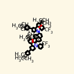 C[Si](C)(C)c1ccc(-c2ccc(N(C3=C4C=CC5=C6C(=CC=C(C=C3)C46)C(N(c3cccc(C(F)(F)F)c3)c3ccc(-c4ccc([Si](C)(C)C)cc4)cc3-c3ccc([Si](C)(C)C)cc3)C=C5)c3cccc(C(F)(F)F)c3)c(-c3ccc([Si](C)(C)C)cc3)c2)cc1